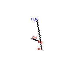 CC(O)CCCCOC(CCCCCCCC=CCCCCCCCCN)OCCCCC(C)O